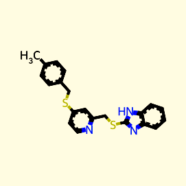 Cc1ccc(CSc2ccnc(CSc3nc4ccccc4[nH]3)c2)cc1